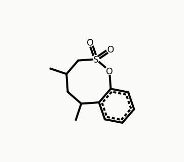 CC1CC(C)c2ccccc2OS(=O)(=O)C1